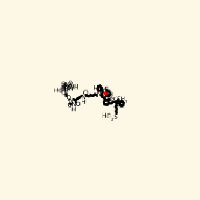 CC1(C)C(/C=C/C2=C(Oc3ccc(S(=O)(=O)O)cc3)C(=C/C=C3/N(CCCCCC(=O)NCC#CC4CN(COCCOP(=O)(O)OP(=O)(O)OP(=O)(O)O)C(=O)NC4=O)c4ccccc4C3(C)C)/CCC2)=[N+](CCCCS(=O)(=O)O)c2ccccc21